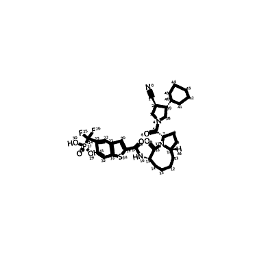 N#C[C@@H]1CN(C(=O)[C@@H]2CC[C@@H]3CCCC[C@H](NC(=O)c4cc5cc(C(F)(F)P(=O)(O)O)ccc5s4)C(=O)N32)C[C@H]1C1CCCCC1